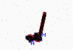 CCCCc1nc2c(NC(=O)OCc3ccc(NC(=O)[C@H](C)NC(=O)[C@@H](NC(=O)[C@H](CCCCNC(=O)CCOCCOCCOCCOCCOCCOCCOCCOCCOCCOCCOCCOC)NC(=O)OCC4c5ccccc5-c5ccccc54)C(C)C)cc3)nc3cc(C(=O)O)ccc3c2n1Cc1ccc(CN(C)C)cc1